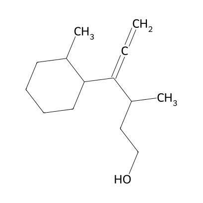 C=C=C(C(C)CCO)C1CCCCC1C